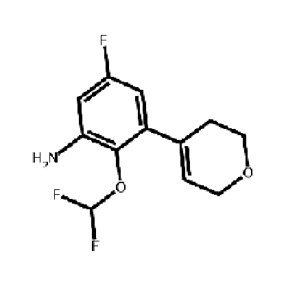 Nc1cc(F)cc(C2=CCOCC2)c1OC(F)F